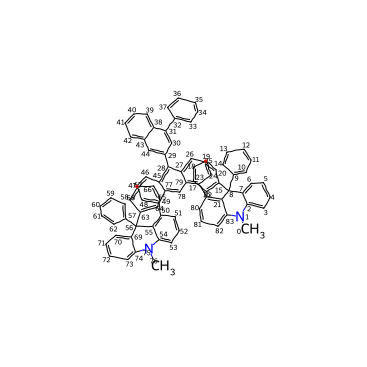 CN1c2ccccc2C(c2ccccc2)(c2ccccc2)c2c(-c3cccc4c(-c5cc(-c6ccccc6)c6ccccc6c5)c5cccc(-c6cccc7c6C(c6ccccc6)(c6ccccc6)c6ccccc6N7C)c5cc34)cccc21